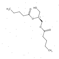 CCCCC(=O)OC[C@H](CO)OC(=O)CCCC